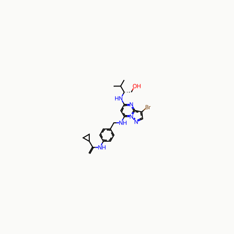 C=C(Nc1ccc(CNc2cc(N[C@@H](CO)C(C)C)nc3c(Br)cnn23)cc1)C1CC1